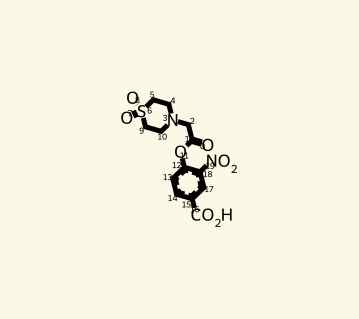 O=C(CN1CCS(=O)(=O)CC1)Oc1ccc(C(=O)O)cc1[N+](=O)[O-]